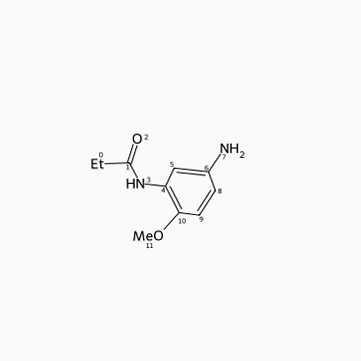 CCC(=O)Nc1cc(N)ccc1OC